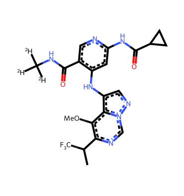 [2H]C([2H])([2H])NC(=O)c1cnc(NC(=O)C2CC2)cc1Nc1cnn2cnc(C(C)C(F)(F)F)c(OC)c12